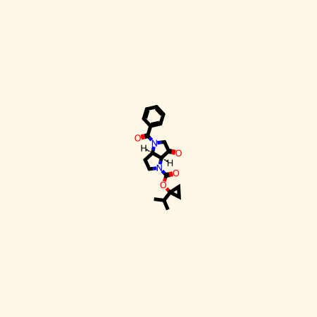 CC(C)C1(OC(=O)N2CC[C@@H]3[C@H]2C(=O)CN3C(=O)c2ccccc2)CC1